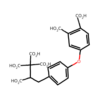 O=C(O)c1ccc(Oc2ccc(CC(C(=O)O)C(C(=O)O)(C(=O)O)C(=O)O)cc2)cc1C(=O)O